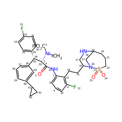 CN(C(=O)O)[C@H](C(=O)Nc1cccc(F)c1CCC1CNC2CCCS(=O)(=O)N1C2)[C@@H](c1ccc(F)cc1)c1cccc(C2CC2)c1